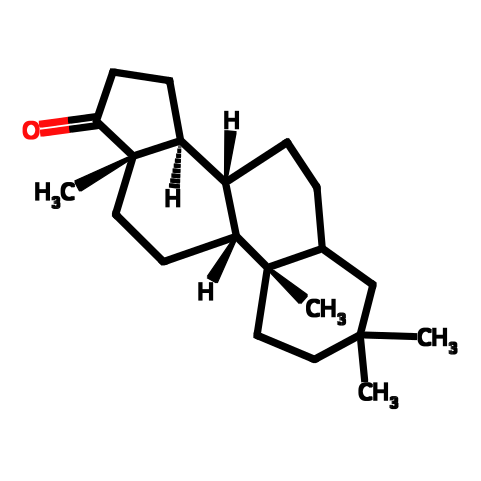 CC1(C)CC[C@@]2(C)C(CC[C@@H]3[C@H]2CC[C@]2(C)C(=O)CC[C@@H]32)C1